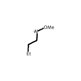 CCC[CH2][Al][O]C